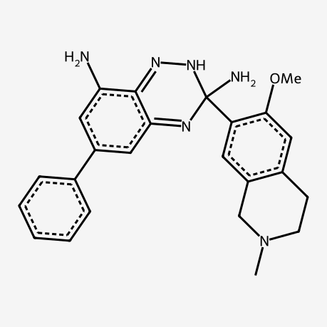 COc1cc2c(cc1C1(N)N=c3cc(-c4ccccc4)cc(N)c3=NN1)CN(C)CC2